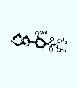 COc1cc(S(=O)(=O)N(C)C)ccc1-c1cn2ccncc2n1